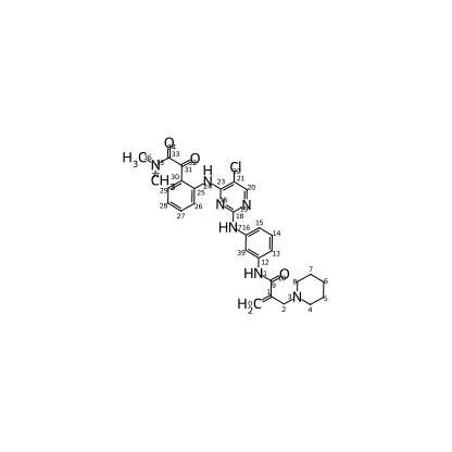 C=C(CN1CCCCC1)C(=O)Nc1cccc(Nc2ncc(Cl)c(Nc3ccccc3C(=O)C(=O)N(C)C)n2)c1